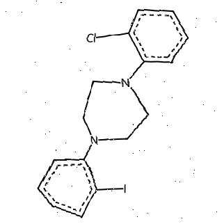 Clc1ccccc1N1CCN(c2ccccc2I)CC1